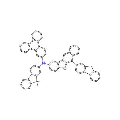 CC1(C)c2ccccc2-c2ccc(N(c3ccc4oc5c(-c6ccc7c(c6)Cc6ccccc6-7)c6ccccc6cc5c4c3)c3ccc4c5ccccc5c5ccccc5c4c3)cc21